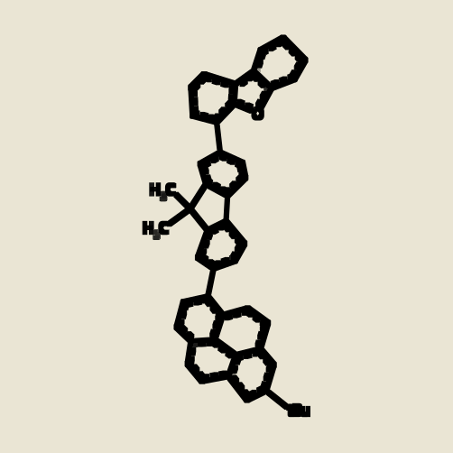 CC(C)(C)c1cc2ccc3ccc(-c4ccc5c(c4)C(C)(C)c4cc(-c6cccc7c6oc6ccccc67)ccc4-5)c4ccc(c1)c2c34